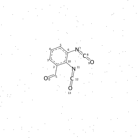 O=[C]c1cccc(N=C=O)c1N=C=O